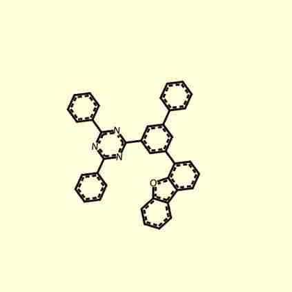 c1ccc(-c2cc(-c3nc(-c4ccccc4)nc(-c4ccccc4)n3)cc(-c3cccc4c3oc3ccccc34)c2)cc1